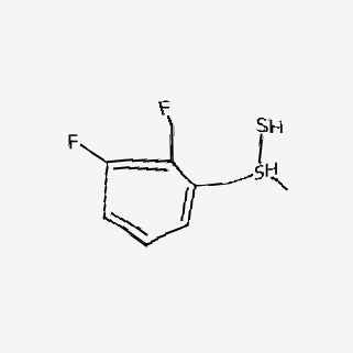 C[SH](S)c1cccc(F)c1F